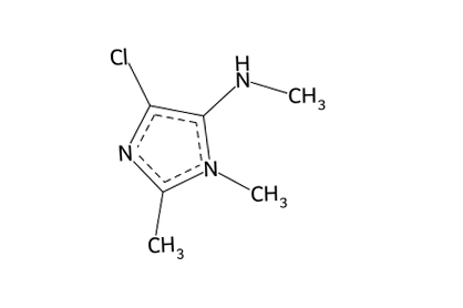 CNc1c(Cl)nc(C)n1C